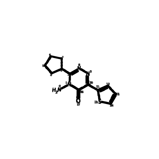 Nn1c(C2CCCC2)nnc(-c2cccs2)c1=O